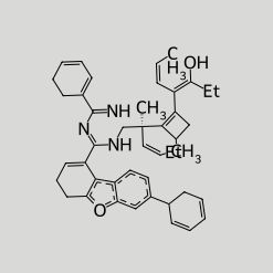 C/C=C\C(C1=C([C@@](C)(/C=C\CC)CN/C(=N\C(=N)C2=CC=CCC2)C2=CCCc3oc4cc(C5C=CC=CC5)ccc4c32)C(C)C1)=C(/O)CC